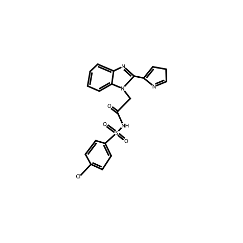 O=C(Cn1c(C2=CCC=N2)nc2ccccc21)NS(=O)(=O)c1ccc(Cl)cc1